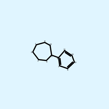 [CH]1CCCCC(c2ccccc2)C1